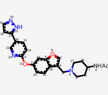 CC(=O)NC1CCN(Cc2coc3cc(Oc4ccc(-c5ccn[nH]5)cn4)ccc23)CC1